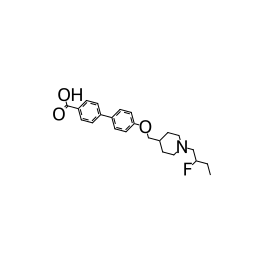 CCC(F)CN1CCC(COc2ccc(-c3ccc(C(=O)O)cc3)cc2)CC1